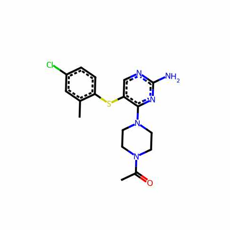 CC(=O)N1CCN(c2nc(N)ncc2Sc2ccc(Cl)cc2C)CC1